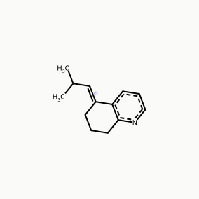 CC(C)/C=C1\CCCc2ncccc21